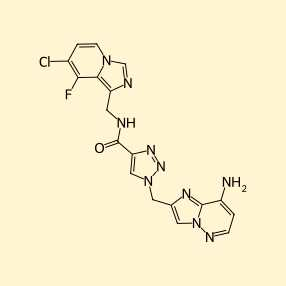 Nc1ccnn2cc(Cn3cc(C(=O)NCc4ncn5ccc(Cl)c(F)c45)nn3)nc12